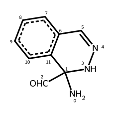 NC1(C=O)NN=Cc2ccccc21